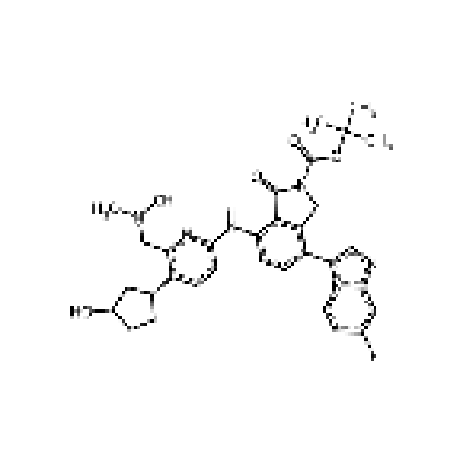 CN(C)Cc1nc(Nc2ccc(-c3cnc4cc(F)ccn34)c3c2C(=O)N(C(=O)OC(C)(C)C)C3)ccc1[C@H]1CC[C@@H](O)C1